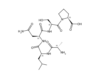 CC(C)C[C@H](NC(=O)[C@H](C)N)C(=O)N[C@@H](CC(N)=O)C(=O)N[C@@H](CO)C(=O)N1CCC[C@H]1C(=O)O